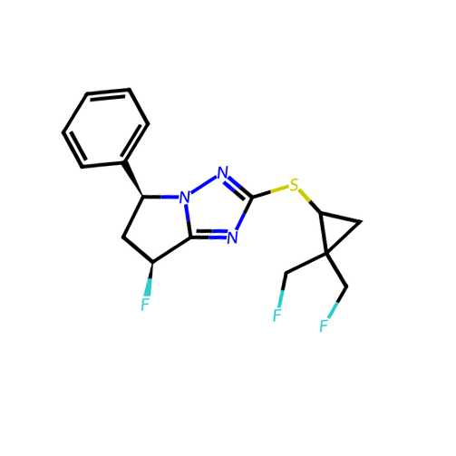 FCC1(CF)CC1Sc1nc2n(n1)[C@H](c1ccccc1)C[C@@H]2F